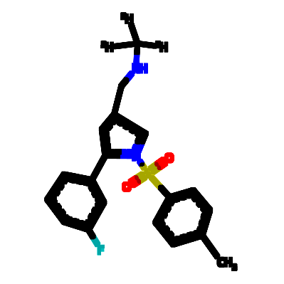 [2H]C([2H])([2H])NCc1cc(-c2cccc(F)c2)n(S(=O)(=O)c2ccc(C)cc2)c1